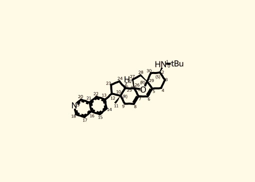 CC(C)(C)N[C@H]1CCC2=CC3=CC[C@]4(C)C(c5ccc6ccncc6c5)CC[C@H]4[C@@]34CC[C@]2(C1)O4